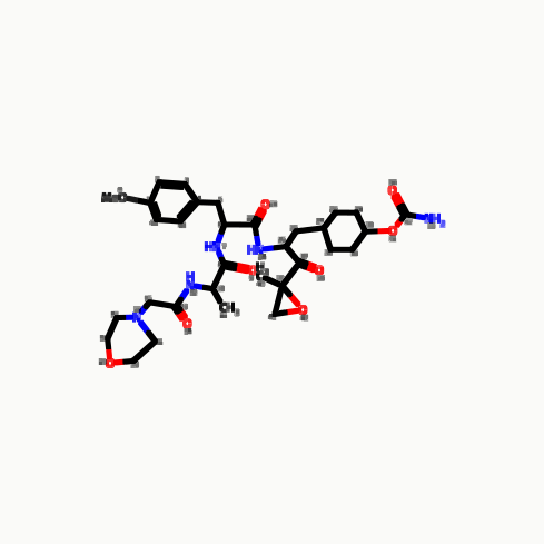 COc1ccc(CC(NC(=O)C(C)NC(=O)CN2CCOCC2)C(=O)NC(CC2CCC(OC(N)=O)CC2)C(=O)C2(C)CO2)cc1